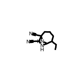 CCC1CCCC2(C#N)NC1NC2C#N